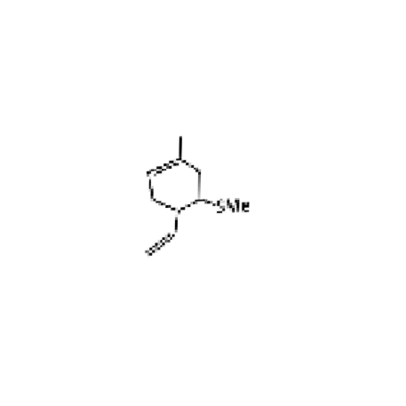 C=CC1CC=C(C)CC1SC